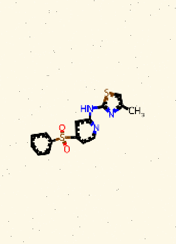 Cc1csc(Nc2cc(S(=O)(=O)c3ccccc3)ccn2)n1